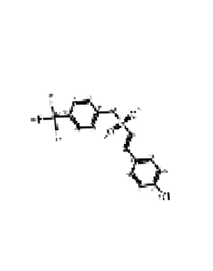 O=S(=O)(C=Cc1ccc(Cl)cc1)Cc1ccc(C(F)(F)F)cc1